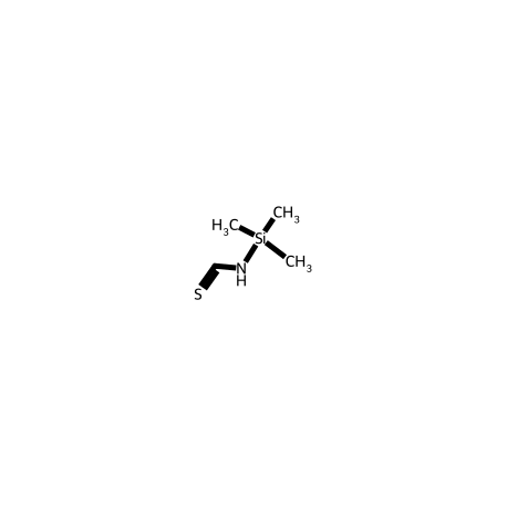 C[Si](C)(C)NC=S